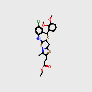 CCOC(=O)CCc1sc(CC2SC(c3cccc(OC)c3OC)c3cc(Cl)ccc3NC2=S)nc1C